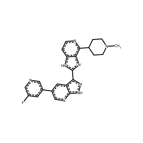 CN1CCC(c2nccc3[nH]c(-c4n[nH]c5ncc(-c6cncc(F)c6)cc45)nc23)CC1